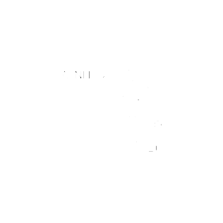 CCC(C)(C)C(=O)OC1(C)C2CC3CC1CC(NC(C)=O)(C3)C2